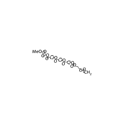 C=CC(=O)OCCCCOC(=O)Oc1ccc(C(=O)Oc2ccc(C(=O)Oc3ccc(C(=O)O[C@H]4COC5C4OC[C@@H]5OC)cc3)cc2)cc1